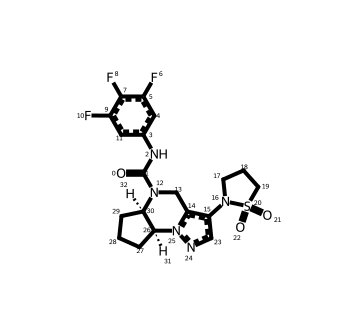 O=C(Nc1cc(F)c(F)c(F)c1)N1Cc2c(N3CCCS3(=O)=O)cnn2[C@H]2CCC[C@H]21